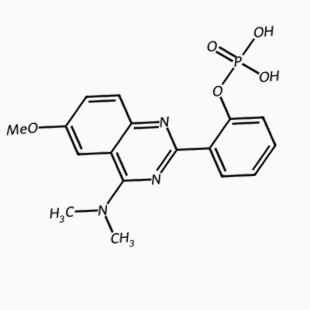 COc1ccc2nc(-c3ccccc3OP(=O)(O)O)nc(N(C)C)c2c1